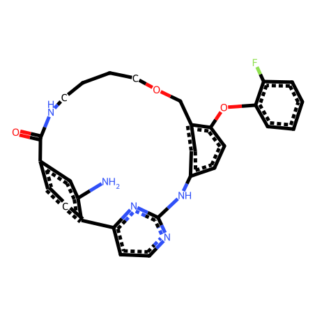 Nc1cc2ccc1-c1ccnc(n1)Nc1ccc(Oc3ccccc3F)c(c1)COCCCCNC2=O